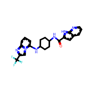 O=C(NC1CCC(Nc2cccc3nc(C(F)(F)F)cn23)CC1)c1cc2cccnc2[nH]1